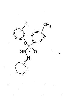 Cc1ccc(S(=O)(=O)NN=C2CCCCC2)c(-c2ccccc2Cl)c1